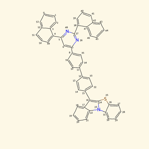 c1ccc2c(-c3cc(-c4ccc(-c5ccc(-c6c7ccccc7n7c6sc6ccccc67)cc5)cc4)nc(-c4cccc5ccccc45)n3)cccc2c1